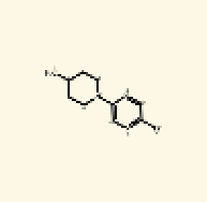 FC(F)(F)C1CCN(c2cnc(Br)cn2)CC1